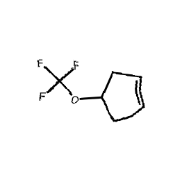 FC(F)(F)OC1CC=CC1